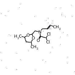 C/C=C/CN(CC1OC(C)CC(C)O1)C(=O)C(Cl)Cl